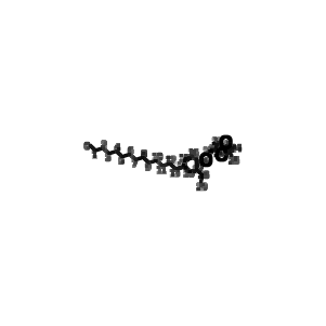 CCCCCCCCCCCCCCc1ccc(OCC2COC(C)(C)O2)c(CC)c1